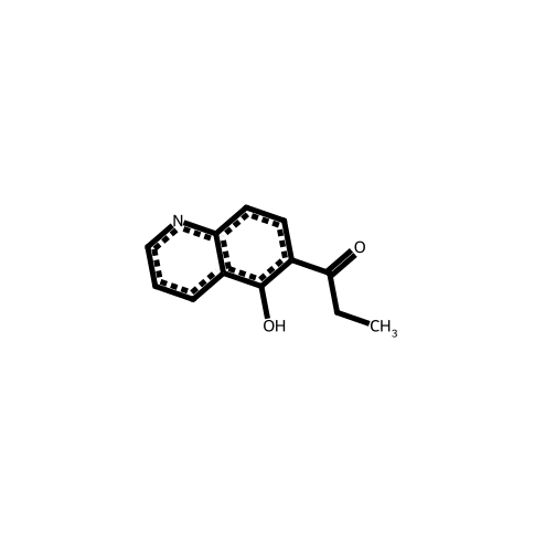 CCC(=O)c1ccc2ncccc2c1O